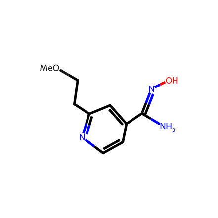 COCCc1cc(C(N)=NO)ccn1